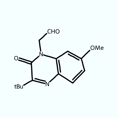 COc1ccc2nc(C(C)(C)C)c(=O)n(CC=O)c2c1